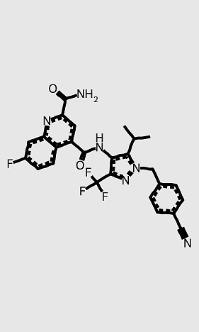 CC(C)c1c(NC(=O)c2cc(C(N)=O)nc3cc(F)ccc23)c(C(F)(F)F)nn1Cc1ccc(C#N)cc1